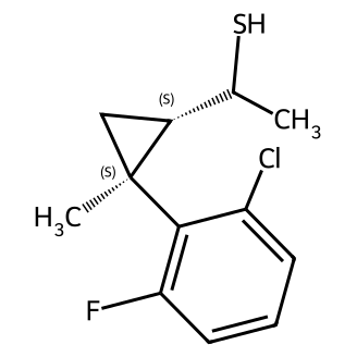 CC(S)[C@H]1C[C@]1(C)c1c(F)cccc1Cl